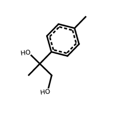 Cc1ccc(C(C)(O)CO)cc1